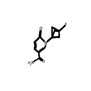 NC(=O)c1ccc(=O)n(C23CC(F)(C2)C3)c1